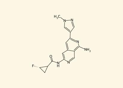 Cn1cc(-c2cc3cc(NC(=O)C4C[C@@H]4F)ncc3c(N)n2)cn1